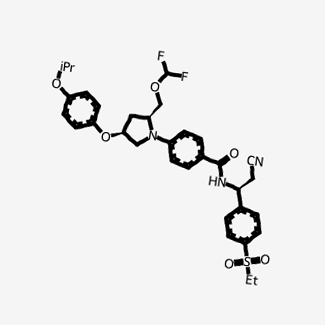 CCS(=O)(=O)c1ccc([C@H](CC#N)NC(=O)c2ccc(N3C[C@@H](Oc4ccc(OC(C)C)cc4)C[C@H]3COC(F)F)cc2)cc1